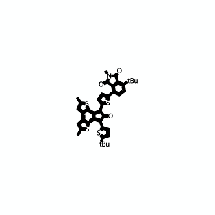 Cc1cc2c(s1)c1c(c3sc(C)cc32)=C(c2ccc(C(C)(C)C)s2)C(=O)C=1c1ccc(-c2ccc(C(C)(C)C)c3c2C(=O)N(C)C3=O)s1